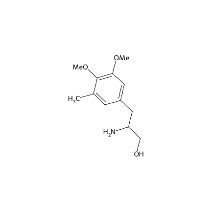 COc1cc(CC(N)CO)cc(C)c1OC